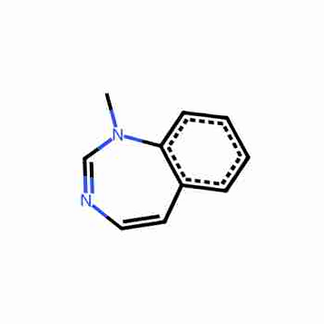 CN1C=NC=Cc2ccccc21